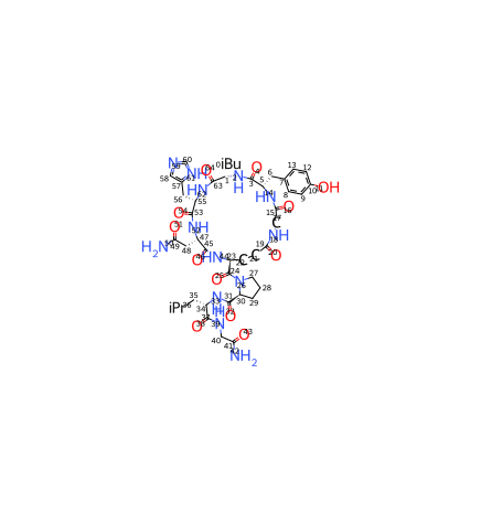 CC[C@H](C)[C@@H]1NC(=O)[C@H](Cc2ccc(O)cc2)NC(=O)CNC(=O)CC[C@@H](C(=O)N2CCC[C@H]2C(=O)N[C@@H](CC(C)C)C(=O)NCC(N)=O)NC(=O)[C@H](CC(N)=O)NC(=O)[C@H](Cc2cnc[nH]2)NC1=O